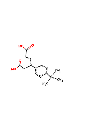 CC(C)(C)c1ccc(C(CCC(=O)O)CC(=O)O)cc1